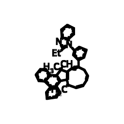 C=C1/C=C\C=C/C/C(c2cccc(-n3c(CC)nc4ccccc43)c2)=C\C2=C1c1c(c3ccccc3c3ccccc13)C2(C)C